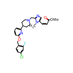 COC(=O)/C=C\c1cnc(CN2CCC(c3cccc(OCc4ccc(Cl)cc4F)n3)CC2)n1C